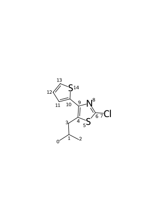 CC(C)Cc1sc(Cl)nc1-c1cccs1